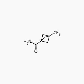 NC(=O)C12CC(C(F)(F)F)(C1)C2